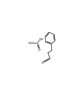 O=CCCc1ccccc1.O=S(O)O